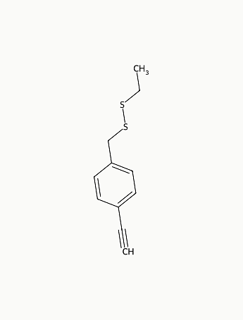 C#Cc1ccc(CSSCC)cc1